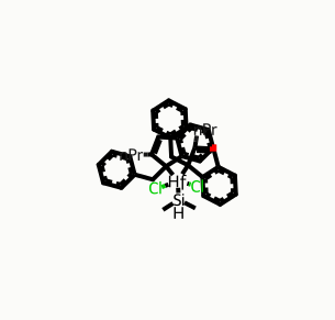 CCCC1=Cc2ccccc2[C]1(Cc1ccccc1)[Hf]([Cl])([Cl])([SiH](C)C)[C]1(Cc2ccccc2)C(CCC)=Cc2ccccc21